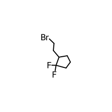 FC1(F)CCCC1CCBr